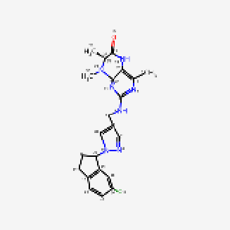 Cc1nc(NCc2cnn(C3CCc4ccc(F)cc43)c2)nc2c1NC(=O)[C@H](C)N2C